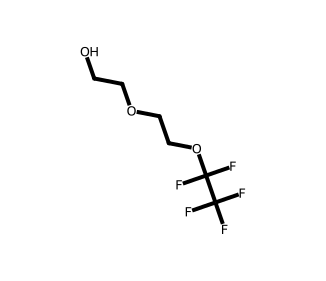 OCCOCCOC(F)(F)C(F)(F)F